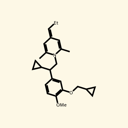 CCC=C1C=C(C)N(CC(c2ccc(OC)c(OCC3CC3)c2)C2CC2)C(C)=C1